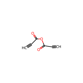 C#CC(=O)OC(=O)C#C